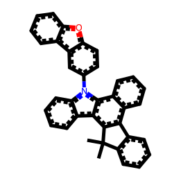 CC1(C)c2ccccc2-c2c1c1c3ccccc3n(-c3ccc4oc5ccccc5c4c3)c1c1ccccc21